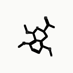 COc1ccc(OC)c2c1C[C@H](C(C)=O)S[C@@H]2OC